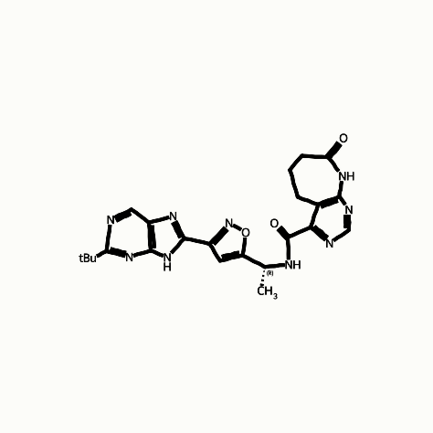 C[C@@H](NC(=O)c1ncnc2c1CCCC(=O)N2)c1cc(-c2nc3cnc(C(C)(C)C)nc3[nH]2)no1